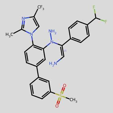 Cc1nc(C(F)(F)F)cn1-c1ccc(-c2cccc(S(C)(=O)=O)c2)cc1N(N)/C(=C\N)c1ccc(C(F)F)cc1